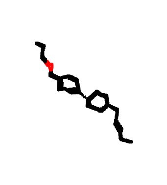 CC/C=C/C[C@H]1CC[C@H](c2ccc(COCCC)cc2)CC1